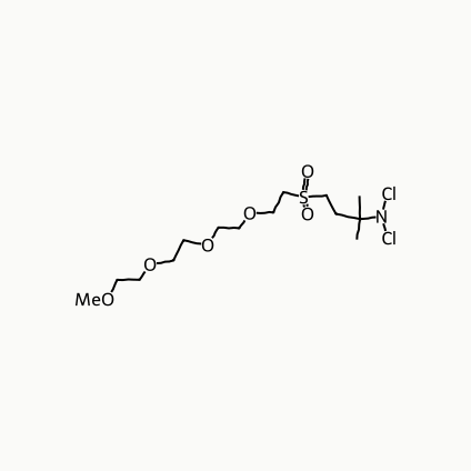 COCCOCCOCCOCCS(=O)(=O)CCC(C)(C)N(Cl)Cl